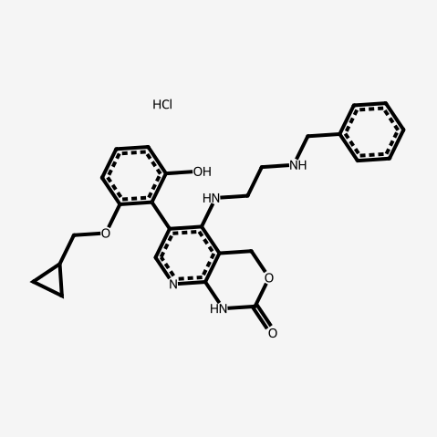 Cl.O=C1Nc2ncc(-c3c(O)cccc3OCC3CC3)c(NCCNCc3ccccc3)c2CO1